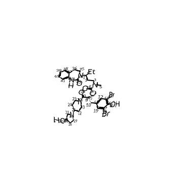 CCC(CCN(C)C(=O)O[C@H](Cc1cc(Br)c(O)c(Br)c1)C(=O)N1CCC(N2CC[C@@H](O)C2)CC1)N1CCc2ccccc2NC1=O